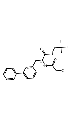 O=C(CCl)N[C@@H](Cc1cccc(-c2ccccc2)c1)C(=O)OCC(F)(F)F